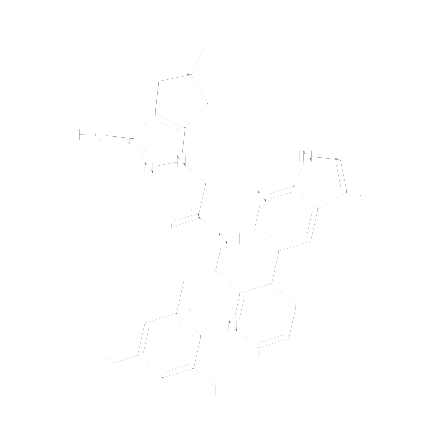 CC1Cc2c(C(F)(F)F)nn(CC(=O)N[C@@H](Cc3cc(F)cc(F)c3)c3ncccc3-c3cnc4[nH]ccc4c3)c2C1